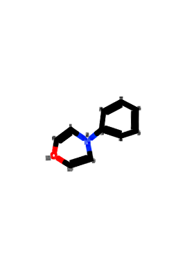 C1=CN(c2ccccc2)C=CO1